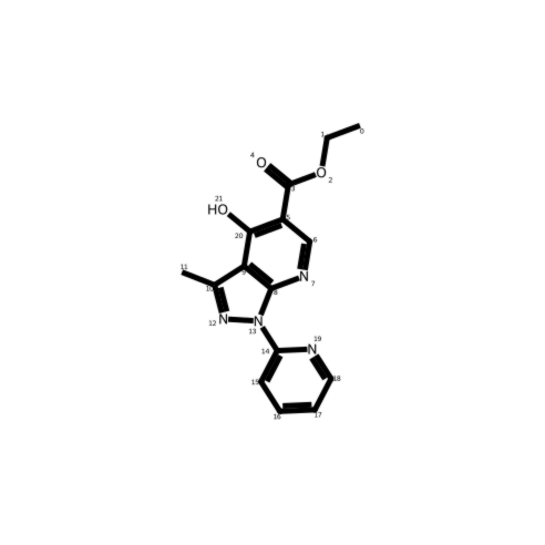 CCOC(=O)c1cnc2c(c(C)nn2-c2ccccn2)c1O